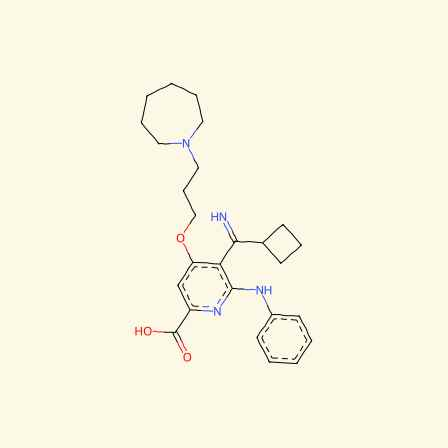 N=C(c1c(OCCCN2CCCCCC2)cc(C(=O)O)nc1Nc1ccccc1)C1CCC1